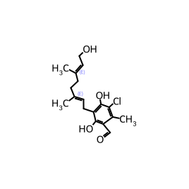 C/C(=C\CO)CC/C(C)=C/Cc1c(O)c(Cl)c(C)c(C=O)c1O